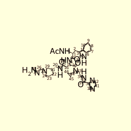 CC(=O)N[C@@H](Cc1c[nH]c2ccccc12)C(=O)N[C@@H](CC(=O)NC[C@@H]1CCCN(C=NN)C1)C(=O)N(CCNC(=O)c1cnccn1)C1CC1